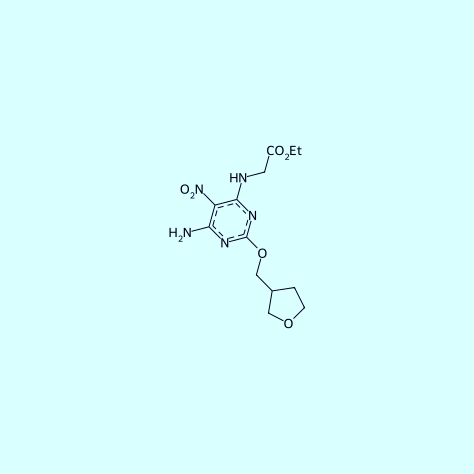 CCOC(=O)CNc1nc(OCC2CCOC2)nc(N)c1[N+](=O)[O-]